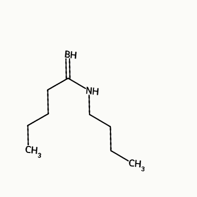 B=C(CCCC)NCCCC